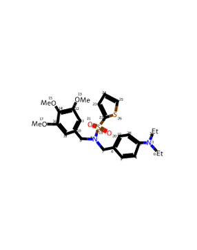 CCN(CC)c1ccc(CN(Cc2cc(OC)c(OC)c(OC)c2)S(=O)(=O)c2cccs2)cc1